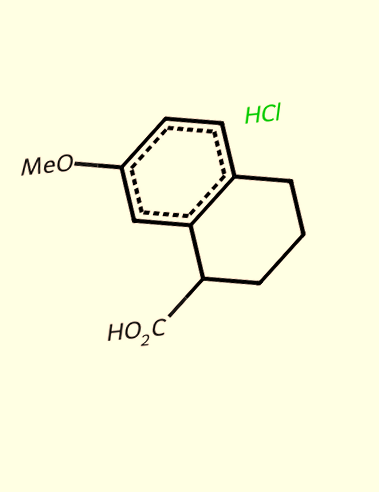 COc1ccc2c(c1)C(C(=O)O)CCC2.Cl